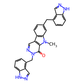 Cn1c2cc(Cc3cccc4[nH]ncc34)ccc2c2cnn(Cc3cccc4[nH]ncc34)c(=O)c21